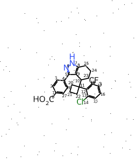 O=C(O)c1ccc(-c2n[nH]c3c2C(C2(c4c(Cl)cccc4C(F)(F)F)CCC2)CCC3)cc1